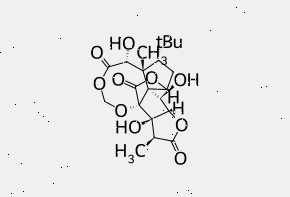 C[C@@H]1C(=O)O[C@H]2[C@H](O)[C@@]34[C@H]5C[C@@H](C(C)(C)C)[C@@]3(C)[C@@H](O)C(=O)OCO[C@@]4(C(=O)O5)[C@@]12O